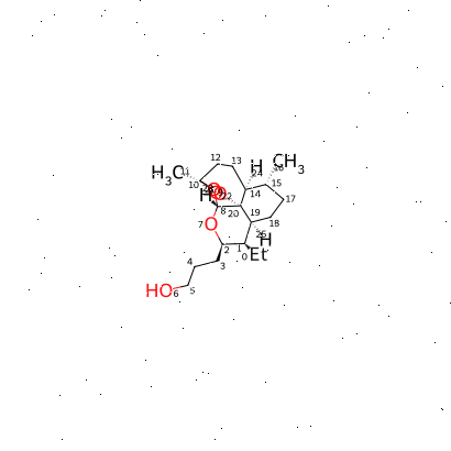 CC[C@H]1[C@@H](CCCO)O[C@@H]2O[C@]3(C)CC[C@H]4[C@H](C)CC[C@@H]1[C@@]24OO3